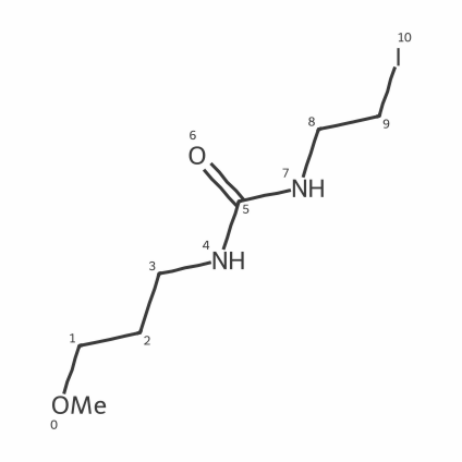 COCCCNC(=O)NCCI